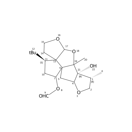 C[C@@H]1COC2CC34C(OC=O)C[C@@H](C(C)(C)C)C35CCOC5OC4(C)[C@]21O